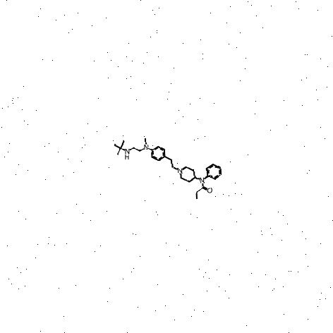 CCC(=O)N(c1ccccc1)C1CCN(CCc2ccc(N(C)CCNC(C)(C)C)cc2)CC1